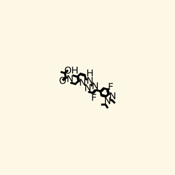 Cc1nc2c(F)cc(-c3nc(Nc4ccc5c(n4)CCN(C(=O)C(C)O)C5)ncc3F)cc2n1C(C)C